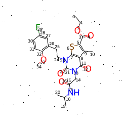 CCOC(=O)c1sc2c(c1C)c(=O)n(CC(=O)NC(C)C)c(=O)n2CCc1cc(F)ccc1OC